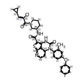 Cc1cc(Oc2ccccc2)ccc1N1C(=O)Nc2c(C(=O)N[C@@H]3CCCN(C(=O)/C(Cl)=C/C4CC4)C3)sc3nccc1c23